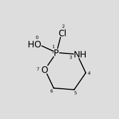 O[P]1(Cl)NCCCO1